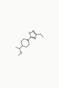 CCc1noc(N2CCC(C(C)OC)CC2)n1